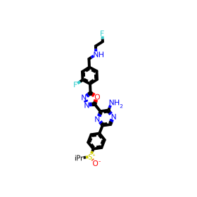 CC(C)[S+]([O-])c1ccc(-c2cnc(N)c(-c3nnc(-c4ccc(CNCCF)cc4F)o3)n2)cc1